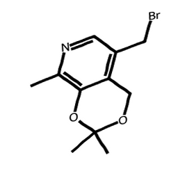 Cc1ncc(CBr)c2c1OC(C)(C)OC2